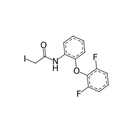 O=C(CI)Nc1ccccc1Oc1c(F)cccc1F